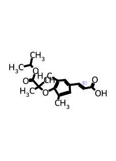 Cc1cc(/C=C/C(=O)O)cc(C)c1OC(C)(C)C(=O)OC(C)C